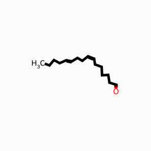 CCCC/C=C/CC/C=C\CCCCCC=O